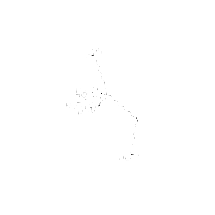 CCCCCCC(CCCCCCCC/C=C\CCCCCCCC(=O)O)(CCCCCCCCCC(=O)O)C(=O)O[C@@H](C(C)=O)[C@@H](O)[C@H](O)[C@H](O)CO